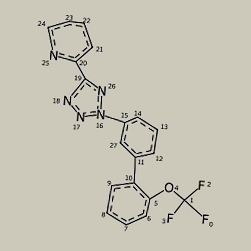 FC(F)(F)Oc1ccccc1-c1cccc(-n2nnc(-c3ccccn3)n2)c1